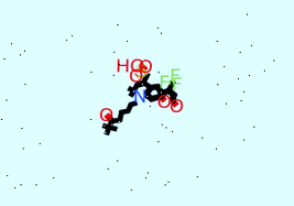 CC(C)(C)C(=O)CCCCCN1c2cc3oc(=O)cc(C(F)(F)F)c3cc2C(CS(=O)(=O)O)=CC1(C)C